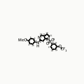 COc1ccc(Nc2cc3c(ccn3S(=O)(=O)c3cccc(OC(F)(F)F)c3)cn2)cc1